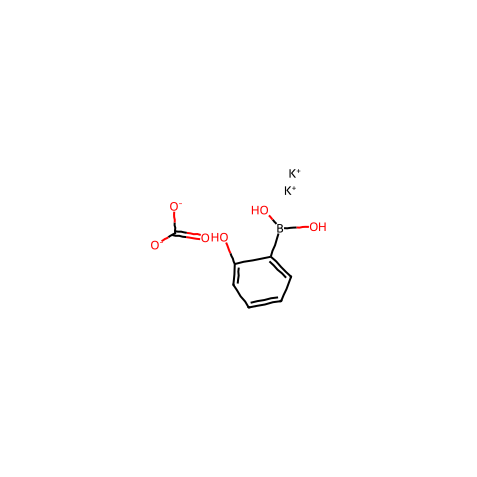 O=C([O-])[O-].OB(O)c1ccccc1O.[K+].[K+]